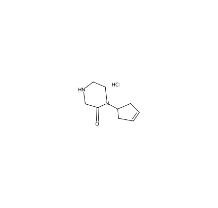 Cl.O=C1CNCCN1C1CC=CC1